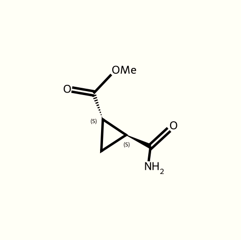 COC(=O)[C@H]1C[C@@H]1C(N)=O